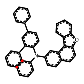 c1ccc(-c2ccc(N(c3ccccc3)c3ccc4ccc5oc6ccccc6c5c4c3)c(-c3ccccc3)c2)cc1